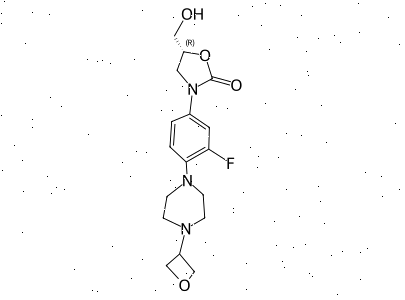 O=C1O[C@@H](CO)CN1c1ccc(N2CCN(C3COC3)CC2)c(F)c1